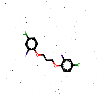 Fc1ccc(OCCCOc2ccc(Cl)cc2I)c(I)c1